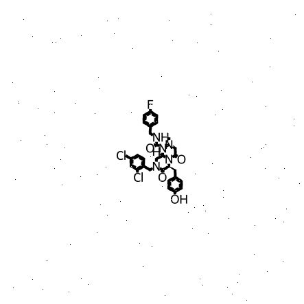 CN1CC(=O)N2[C@@H](Cc3ccc(O)cc3)C(=O)N(Cc3ccc(Cl)cc3Cl)C[C@@H]2N1C(=O)NCc1ccc(F)cc1